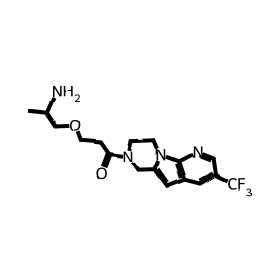 CC(N)COCCC(=O)N1CCn2c(cc3cc(C(F)(F)F)cnc32)C1